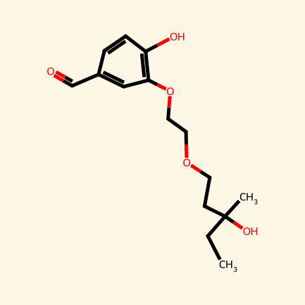 CCC(C)(O)CCOCCOc1cc(C=O)ccc1O